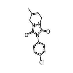 CC1=CCn2c(=O)n(-c3ccc(Cl)cc3)c(=O)n2C1